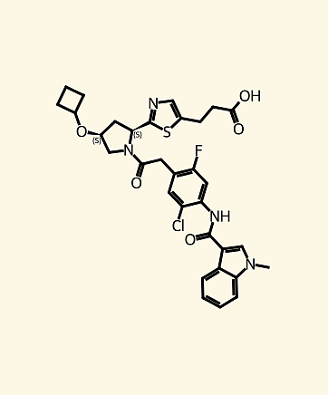 Cn1cc(C(=O)Nc2cc(F)c(CC(=O)N3C[C@@H](OC4CCC4)C[C@H]3c3ncc(CCC(=O)O)s3)cc2Cl)c2ccccc21